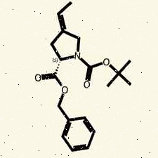 CC=C1C[C@@H](C(=O)OCc2ccccc2)N(C(=O)OC(C)(C)C)C1